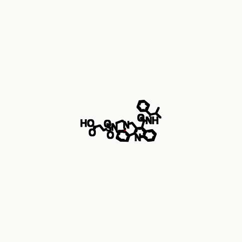 CC(C)[C@H](NC(=O)c1c(CN2CCN(S(=O)(=O)CCC(=O)O)CC2)c(-c2ccccc2)nc2ccccc12)c1ccccc1